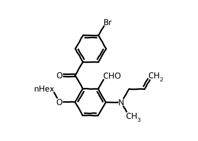 C=CCN(C)c1ccc(OCCCCCC)c(C(=O)c2ccc(Br)cc2)c1C=O